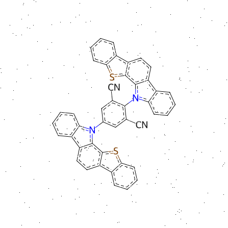 N#Cc1cc(-n2c3ccccc3c3ccc4c5ccccc5sc4c32)cc(C#N)c1-n1c2ccccc2c2ccc3c4ccccc4sc3c21